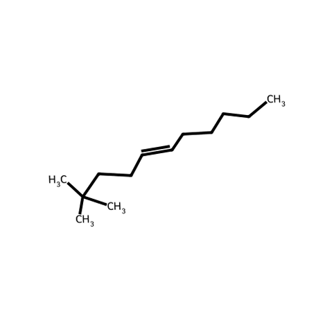 CCCCCC=CCCC(C)(C)C